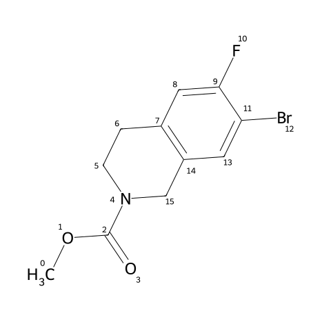 COC(=O)N1CCc2cc(F)c(Br)cc2C1